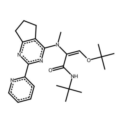 CN(C(=COC(C)(C)C)C(=O)NC(C)(C)C)c1nc(-c2ccccn2)nc2c1CCC2